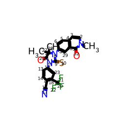 Cn1ccc2ccc(N3C(=S)N(c4ccc(C#N)c(C(F)(F)F)c4)C(=O)C3(C)C)cc2c1=O